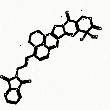 CCC1(O)C(=O)OCc2c1cc1n(c2=O)Cc2c-1nc1ccc(/C=C/CN3C(=O)c4ccccc4C3=O)c3c1c2CCC3